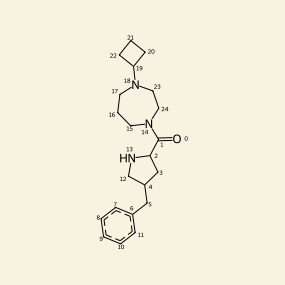 O=C(C1CC(Cc2ccccc2)CN1)N1CCCN(C2CCC2)CC1